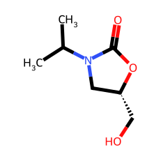 CC(C)N1C[C@@H](CO)OC1=O